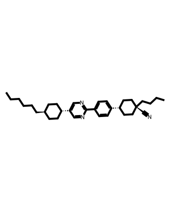 CCCCCC[C@H]1CC[C@H](c2cnc(-c3ccc([C@H]4CC[C@@](C#N)(CCCC)CC4)cc3)nc2)CC1